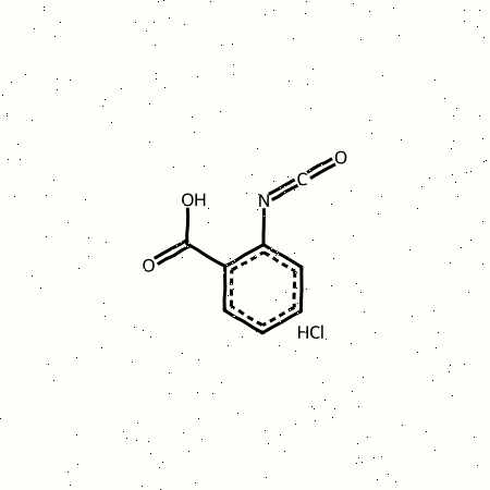 Cl.O=C=Nc1ccccc1C(=O)O